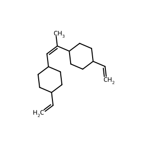 C=CC1CCC(C=C(C)C2CCC(C=C)CC2)CC1